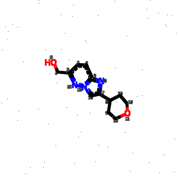 OCc1ccc2nc(C3CCOCC3)cn2n1